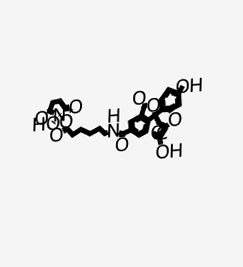 O=C(CCCCCNC(=O)c1ccc2c(c1)C(=O)OC21c2ccc(O)cc2Oc2cc(O)ccc21)O[N+]1(O)C(=O)CCC1=O